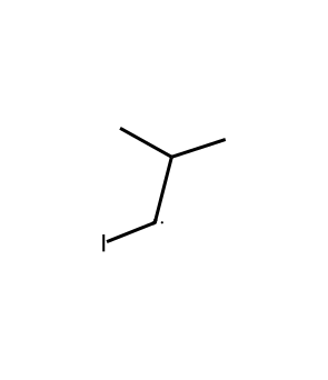 CC(C)[CH]I